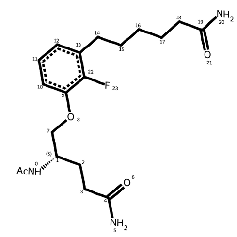 CC(=O)N[C@@H](CCC(N)=O)COc1cccc(CCCCCC(N)=O)c1F